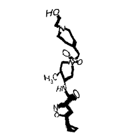 C[C@H]1CN(S(=O)(=O)CC2CCN(CCO)CC2)CC[C@H]1NC(=O)c1cc(C2CC2)on1